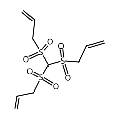 C=CCS(=O)(=O)[C](S(=O)(=O)CC=C)S(=O)(=O)CC=C